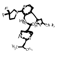 Cc1cc(-c2ccnc(N3CCC(F)(F)C3)c2NC(=O)c2cnc(C(C)C)nc2)[nH]n1